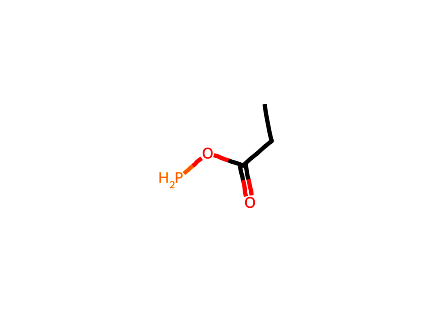 CCC(=O)OP